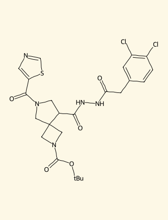 CC(C)(C)OC(=O)N1CC2(C1)CN(C(=O)c1cncs1)CC2C(=O)NNC(=O)Cc1ccc(Cl)c(Cl)c1